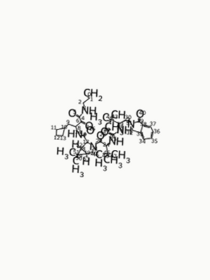 C=CCNC(=O)C(=O)C(CC1CCC1)NC(=O)[C@@H]1[C@@H]2[C@H](CN1C(=O)[C@@H](NC(=O)N[C@H](CN1Cc3ccccc3C1=O)C(C)(C)C)C(C)(C)C)C2(C)C